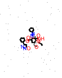 C=CCOC1C(=C=O)C=C(C(=O)O)C(N=Nc2ccccc2)C1(C)C(=O)O.O=C1C=C(c2ccccc2)N=N1